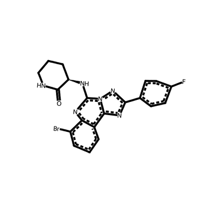 O=C1NCCC[C@H]1Nc1nc2c(Br)cccc2c2nc(-c3ccc(F)cc3)nn12